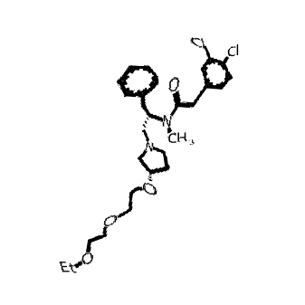 CCOCCOCCO[C@H]1CCN(C[C@H](c2ccccc2)N(C)C(=O)Cc2ccc(Cl)c(Cl)c2)C1